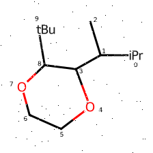 CC(C)C(C)C1OCCOC1C(C)(C)C